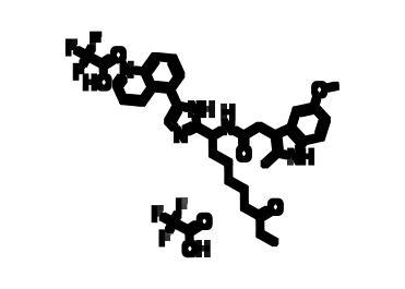 CCC(=O)CCCCCC(NC(=O)Cc1c(C)[nH]c2ccc(OC)cc12)c1ncc(-c2cccc3ncccc23)[nH]1.O=C(O)C(F)(F)F.O=C(O)C(F)(F)F